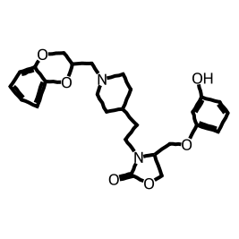 O=C1OCC(COc2cccc(O)c2)N1CCC1CCN(CC2COc3ccccc3O2)CC1